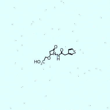 O=C(O)COC1CC(=O)N1NC(=O)Cc1ccsc1